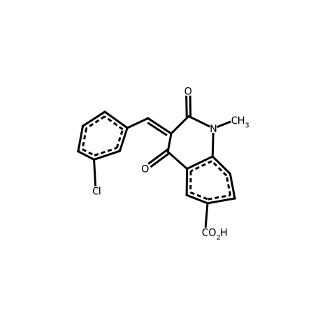 CN1C(=O)/C(=C/c2cccc(Cl)c2)C(=O)c2cc(C(=O)O)ccc21